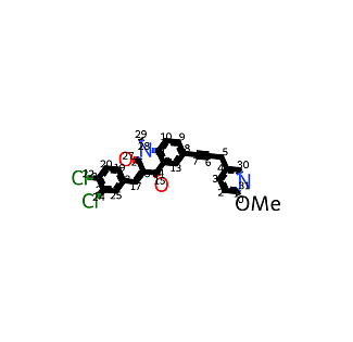 COc1ccc(CC#Cc2ccc3c(c2)C(=O)/C(=C/c2ccc(Cl)c(Cl)c2)C(=O)N3C)cn1